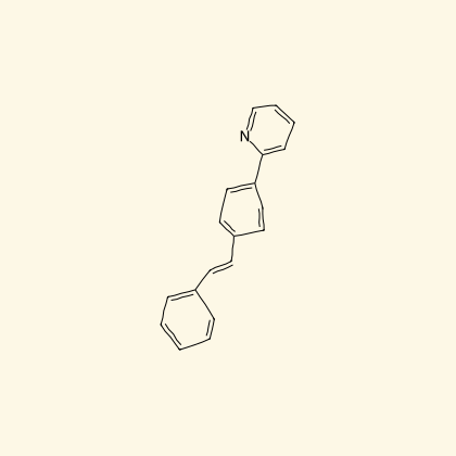 C(=C\c1ccc(-c2ccccn2)cc1)/c1ccccc1